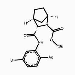 CC(=O)c1ccc(Br)cc1NC(=O)[C@@H]1[C@H]2CC[C@H](C2)N1C(=O)OC(C)(C)C